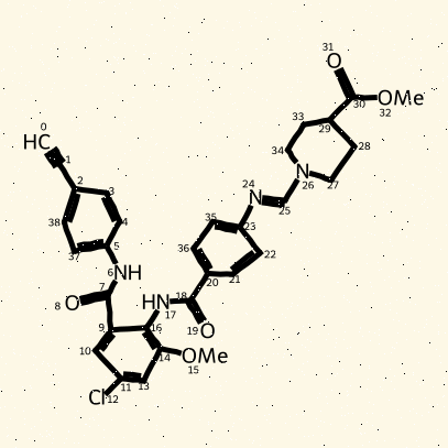 C#Cc1ccc(NC(=O)c2cc(Cl)cc(OC)c2NC(=O)c2ccc(N=CN3CCC(C(=O)OC)CC3)cc2)cc1